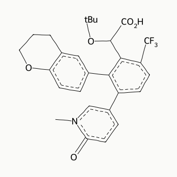 Cn1cc(-c2ccc(C(F)(F)F)c(C(OC(C)(C)C)C(=O)O)c2-c2ccc3c(c2)CCCO3)ccc1=O